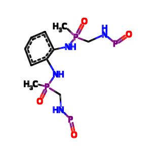 CP(=O)(CNP=O)Nc1ccccc1NP(C)(=O)CNP=O